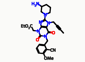 CC#CCn1c(N2CCCC(N)C2)nc2c1c(=O)n(Cc1cccc(OC)c1C#N)c(=O)n2CC(=O)OCC